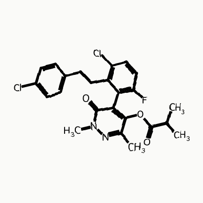 Cc1nn(C)c(=O)c(-c2c(F)ccc(Cl)c2CCc2ccc(Cl)cc2)c1OC(=O)C(C)C